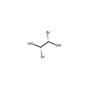 CC(=O)[C@H](O)[C@@H](O)C(C)=O